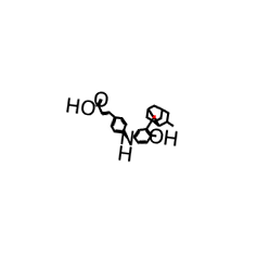 CC1CC2CC3CC(C2)C1C(c1cc(Nc2ccc(/C=C/C(=O)O)cc2)ccc1O)C3